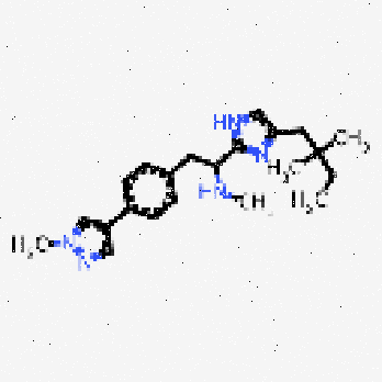 CCC(C)(C)Cc1c[nH]c(C(Cc2ccc(-c3cnn(C)c3)cc2)NC)n1